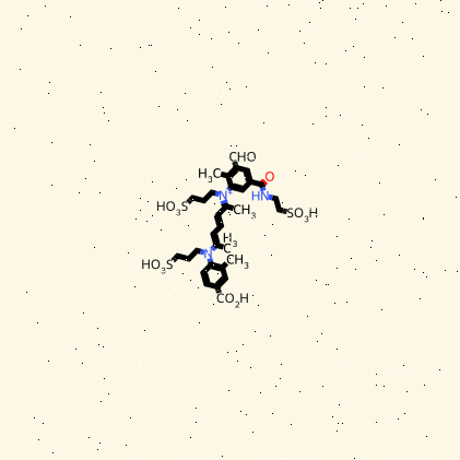 C\C(=C/C=C/C(C)=[N+](\CCCS(=O)(=O)O)c1cc(C(=O)NCCS(=O)(=O)O)cc(C=O)c1C)N(CCCS(=O)(=O)O)c1ccc(C(=O)O)cc1C